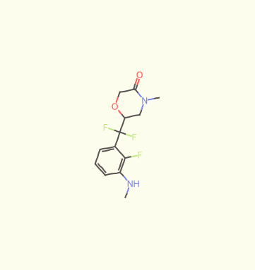 CNc1cccc(C(F)(F)C2CN(C)C(=O)CO2)c1F